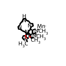 CCN1C=CC=C(c2c(C3=CC=CN(CC)C3)c3c(C4=CC=CN(CC)C4)c4nc(cc5ccc(cc6nc(cc2n3C2=CC=CN(CC)C2)C=C6)[nH]5)C=C4)C1.[Mn]